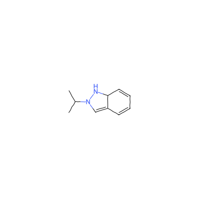 CC(C)N1C=C2C=CC=CC2N1